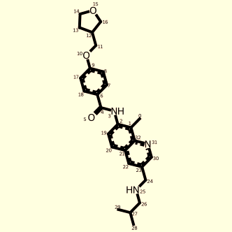 Cc1c(NC(=O)c2ccc(OCC3CCOC3)cc2)ccc2cc(CNCC(C)C)cnc12